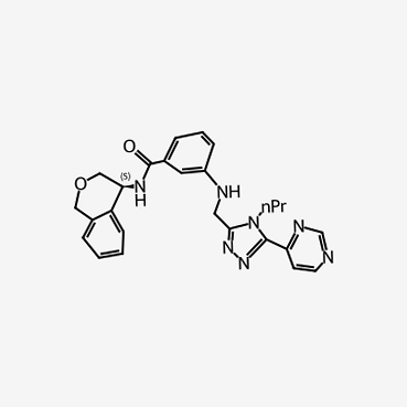 CCCn1c(CNc2cccc(C(=O)N[C@@H]3COCc4ccccc43)c2)nnc1-c1ccncn1